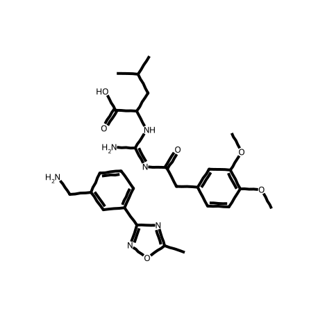 COc1ccc(CC(=O)N=C(N)NC(CC(C)C)C(=O)O)cc1OC.Cc1nc(-c2cccc(CN)c2)no1